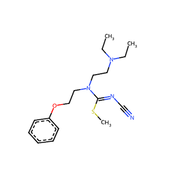 CCN(CC)CCN(CCOc1ccccc1)/C(=N/C#N)SC